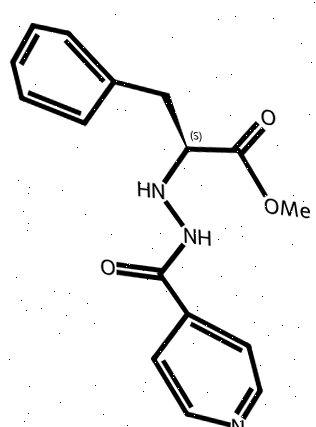 COC(=O)[C@H](Cc1ccccc1)NNC(=O)c1ccncc1